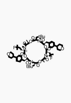 C[C@H]1OC(=O)C(CC(C)(C)C)N(C)C(=O)[C@@H](Cc2ccc(C3CCOCC3)cc2)OC(=O)[C@H](CC(C)(C)F)N(C)C(=O)[C@@H](C)OC(=O)[C@H](CC(C)(C)C)N(C)C(=O)[C@@H](Cc2ccc(C3CCOCC3)cc2)OC(=O)[C@H](CCC(C)(C)F)N(C)C1=O